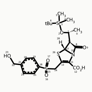 C[C@@H](O[Si](C)(C)C(C)(C)C)[C@H]1C(=O)N2C(C(=O)O)=C(CS(=O)(=O)c3ccc(CO)cc3)S[C@H]12